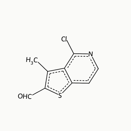 Cc1c(C=O)sc2ccnc(Cl)c12